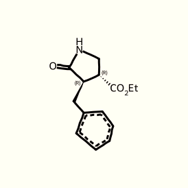 CCOC(=O)[C@H]1CNC(=O)[C@@H]1Cc1ccccc1